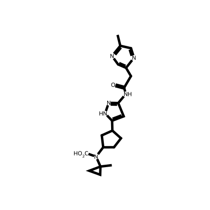 Cc1cnc(CC(=O)Nc2cc(C3CCC(N(C(=O)O)C4(C)CC4)C3)[nH]n2)cn1